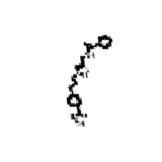 O=C(NO)c1ccc(CCCn2cc(CNC3CC3c3ccccc3)nn2)cc1